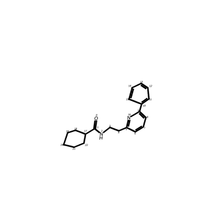 O=C(NCCc1cccc(-c2ccccc2)n1)C1CCCCC1